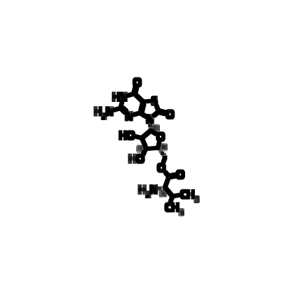 CC(C)[C@H](N)C(=O)OC[C@H]1O[C@@H](n2c(=O)sc3c(=O)[nH]c(N)nc32)C(O)[C@@H]1O